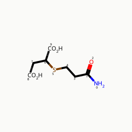 NC(=O)CCSC(CC(=O)O)C(=O)O